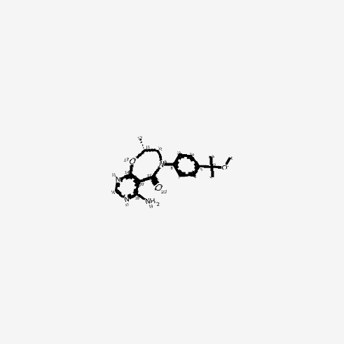 COC(C)(C)c1ccc(N2C[C@@H](C)Oc3ncnc(N)c3C2=O)cc1